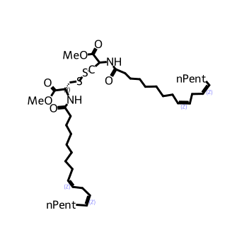 CCCCC/C=C\C/C=C\CCCCCCCC(=O)NC(CSSC[C@H](NC(=O)CCCCCCC/C=C\C/C=C\CCCCC)C(=O)OC)C(=O)OC